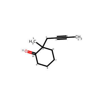 CC#CCC1(C)CCCCC1=O